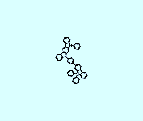 c1ccc(-n2c3ccccc3c3cc4c5ccccc5n(-c5ccc(-c6ccc7c(c6)[Si](c6ccccc6)(c6ccccc6)c6ccccc6-7)cc5)c4cc32)cc1